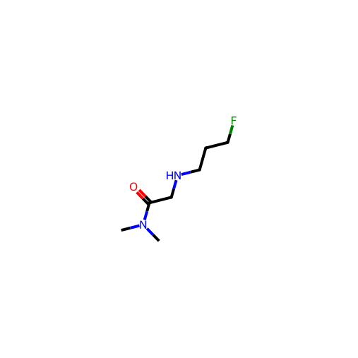 CN(C)C(=O)CNCCCF